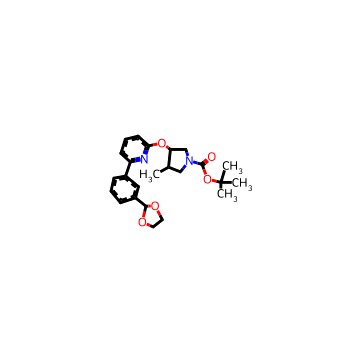 CC1CN(C(=O)OC(C)(C)C)CC1Oc1cccc(-c2cccc(C3OCCO3)c2)n1